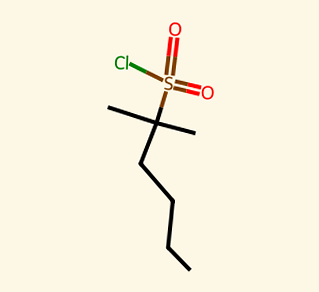 CCCCC(C)(C)S(=O)(=O)Cl